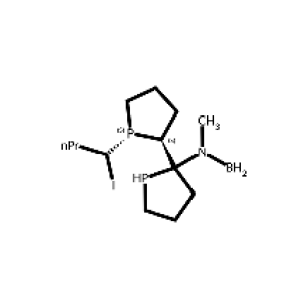 BN(C)C1([C@@H]2CCC[P@@]2C(I)CCC)CCCP1